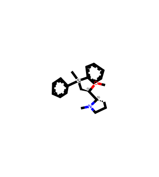 CO[C@H](C[Si](C)(c1ccccc1)c1ccccc1)[C@@H]1CCCN1C